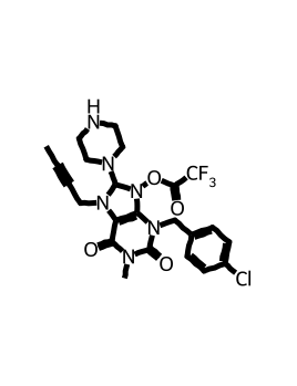 CC#CCN1c2c(n(Cc3ccc(Cl)cc3)c(=O)n(C)c2=O)N(OC(=O)C(F)(F)F)C1N1CCNCC1